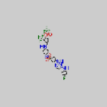 CN(C1CCC(NCc2ccc(OC(=O)C(F)(F)F)c(C(F)(F)F)c2)CC1)S(=O)(=O)c1ccc(Nc2nccc(Nc3ccc(F)cc3)n2)cc1